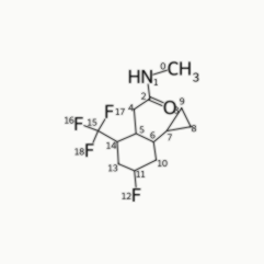 CNC(=O)CC1C(C2CC2)CC(F)CC1C(F)(F)F